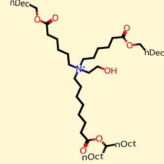 CCCCCCCCCCCOC(=O)CCCCC[N+](CCO)(CCCCCCCC(=O)OC(CCCCCCCC)CCCCCCCC)CCCCCC(=O)OCCCCCCCCCCC